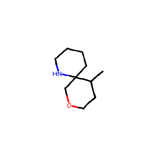 CC1CCOCC12CCCCN2